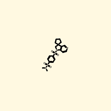 CN(C)S(=O)(=O)c1ccc(S(=O)(=O)N2CC3(CCCC3)c3cnccc32)cc1